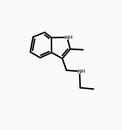 CCNCc1c(C)[nH]c2ccccc12